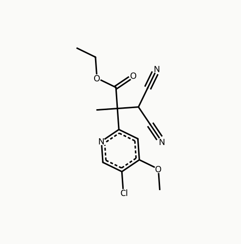 CCOC(=O)C(C)(c1cc(OC)c(Cl)cn1)C(C#N)C#N